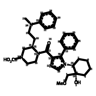 COC[C@]1(O)CCCC[C@H]1n1cnc(C(=O)N2CCN(C(=O)O)C[C@H]2CCN(C)c2ccccc2)c1-c1ccccc1